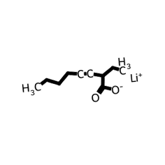 CCCCCCC(CC)C(=O)[O-].[Li+]